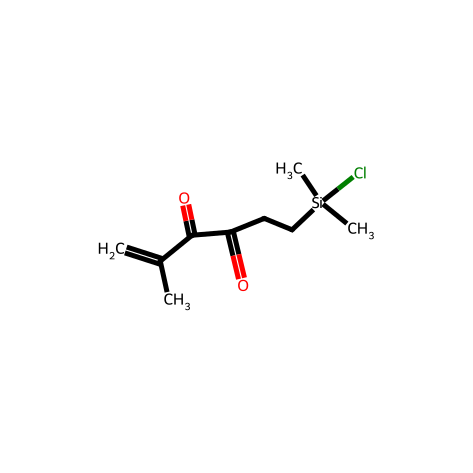 C=C(C)C(=O)C(=O)CC[Si](C)(C)Cl